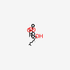 COC1(OC(=O)c2ccccc2)CC[C@@]2(C)C(CCC3=C4C(O)C[C@H]([C@H](C)CCCC(C)C)[C@@]4(C)CC[C@@H]32)C1